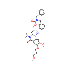 COCCCOc1cc(C(=O)N(C(C)C)[C@H]2CNC[C@@H](COC(=O)N(Cc3ccccc3)Cc3ccccc3)C2)ccc1OC